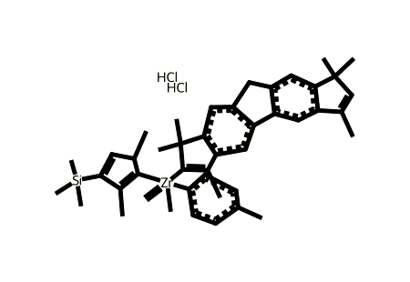 Cl.Cl.[CH2]=[Zr]([CH3])([C]1=C(C)C([Si](C)(C)C)=CC1C)([C]1=C(C)c2cc3c(cc2C1(C)C)Cc1cc2c(cc1-3)C(C)=CC2(C)C)[c]1ccc(C)cc1